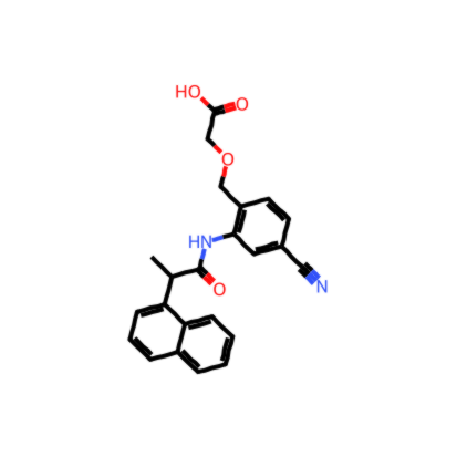 CC(C(=O)Nc1cc(C#N)ccc1COCC(=O)O)c1cccc2ccccc12